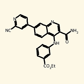 CCOC(=O)c1cccc(Nc2c(C(N)=O)cnc3cc(-c4ccnc(C#N)c4)ccc23)c1